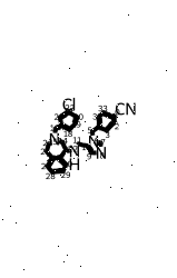 N#Cc1ccc(Cn2cncc2CNC2CN(Cc3cccc(Cl)c3)CCc3ccccc32)cc1